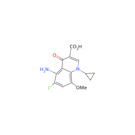 COc1[c]c(F)c(N)c2c(=O)c(C(=O)O)cn(C3CC3)c12